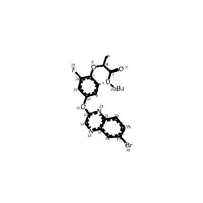 CCCCOC(=O)C(C)Oc1ccc(Oc2cnc3cc(Br)ccc3n2)cc1F